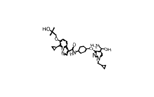 CC(C)(O)COc1ccc2c(C(=O)NC3CCC(Oc4nn(CC5CC5)cc4C(N)O)CC3)cnn2c1C1CC1